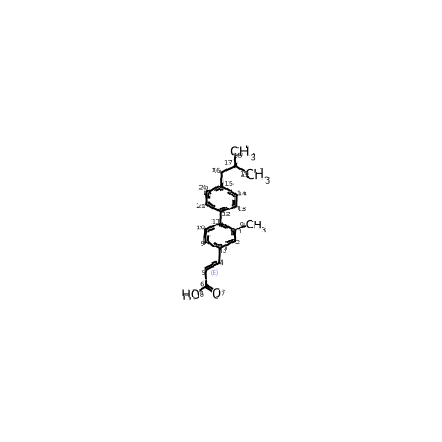 Cc1cc(/C=C/C(=O)O)ccc1-c1ccc(CC(C)C)cc1